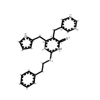 O=c1[nH]c(SCCc2ccccc2)nc(Cc2ccco2)c1Cc1cncnc1